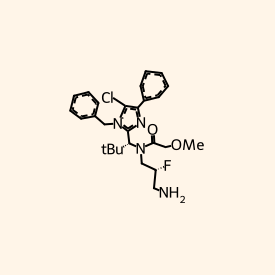 COCC(=O)N(C[C@H](F)CN)[C@@H](c1nc(-c2ccccc2)c(Cl)n1Cc1ccccc1)C(C)(C)C